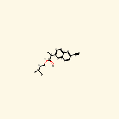 C#Cc1ccc2cc(C(C)C(=O)OCCC(C)C)ccc2c1